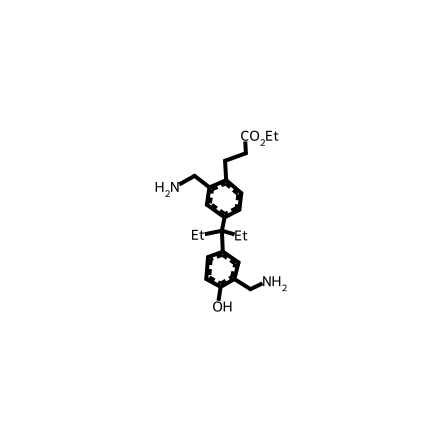 CCOC(=O)CCc1ccc(C(CC)(CC)c2ccc(O)c(CN)c2)cc1CN